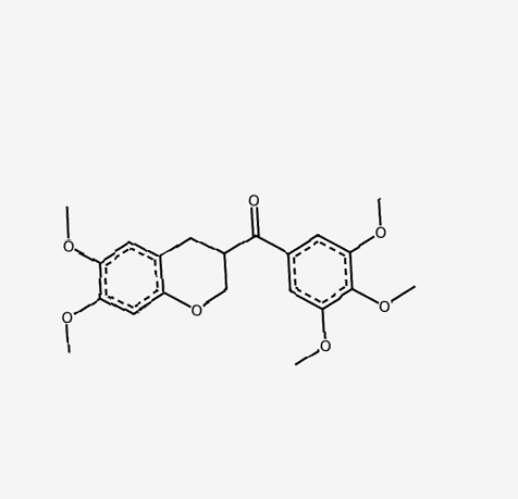 COc1cc2c(cc1OC)OCC(C(=O)c1cc(OC)c(OC)c(OC)c1)C2